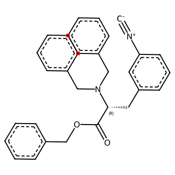 [C-]#[N+]c1cccc(C[C@H](C(=O)OCc2ccccc2)N(Cc2ccccc2)Cc2ccccc2)c1